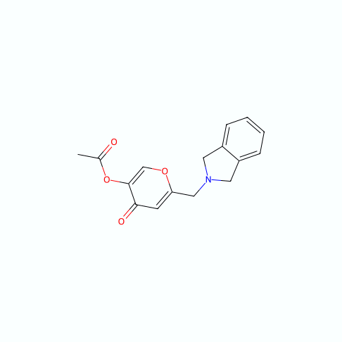 CC(=O)Oc1coc(CN2Cc3ccccc3C2)cc1=O